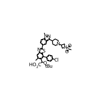 Cc1cc2nc(-c3ccc4c(c3)c(C3CCN(C5CN(S(C)(=O)=O)C5)CC3)nn4C)sc2c(-c2ccc(Cl)cc2)c1C(OC(C)(C)C)C(=O)O